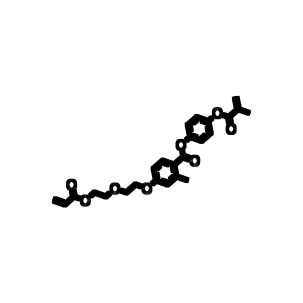 C=CC(=O)OCCOCCOc1ccc(C(=O)Oc2ccc(OC(=O)C(=C)C)cc2)c(C)c1